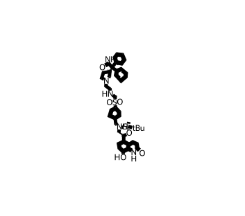 CC(C)(C)[Si](C)(C)O[C@H](CNCc1ccc(S(=O)(=O)CNCCN2CC[C@@H](C(C(N)=O)(c3ccccc3)c3ccccc3)C2)cc1)c1ccc(O)c2[nH]c(=O)ccc12